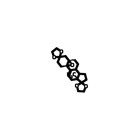 C[C@]12CC=C3C(CC[C@@]45CC6(CC[C@@]34O5)OCCO6)C1CCC21OCCO1